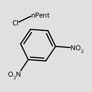 CCCCCCl.O=[N+]([O-])c1cccc([N+](=O)[O-])c1